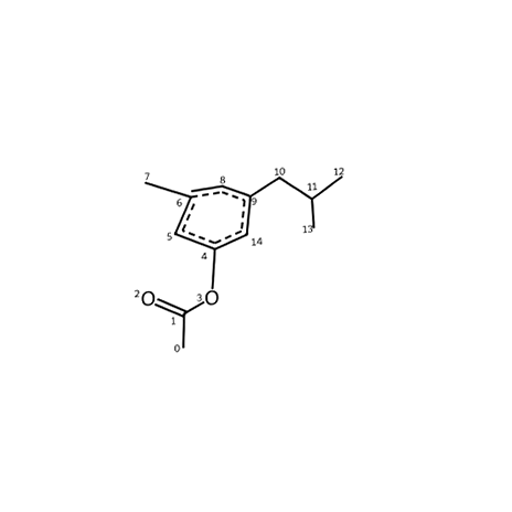 CC(=O)Oc1cc(C)cc(CC(C)C)c1